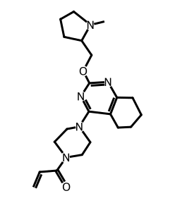 C=CC(=O)N1CCN(c2nc(OCC3CCCN3C)nc3c2CCCC3)CC1